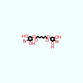 O=C(CCCCCC(=O)Oc1cc(O)c(Br)c(O)c1)Oc1cc(O)c(Br)c(O)c1